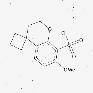 COc1ccc2c(c1S(=O)(=O)Cl)OCCC21CCC1